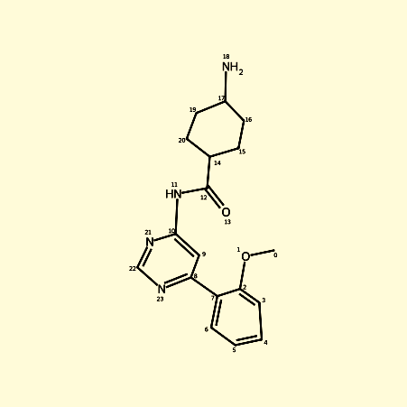 COc1ccccc1-c1cc(NC(=O)C2CCC(N)CC2)ncn1